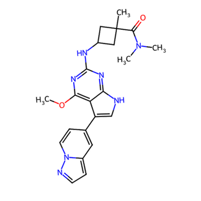 COc1nc(NC2CC(C)(C(=O)N(C)C)C2)nc2[nH]cc(-c3ccn4nccc4c3)c12